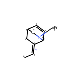 C/C=C1\CC2C=CC1N(CCC)C2